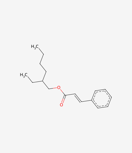 CCCCC(CC)COC(=O)C=Cc1ccccc1